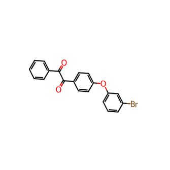 O=C(C(=O)c1ccc(Oc2cccc(Br)c2)cc1)c1ccccc1